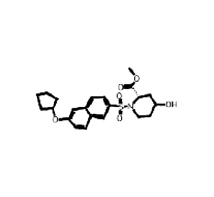 COC(=O)[C@@H]1CC(O)CCN1S(=O)(=O)c1ccc2cc(OC3CCCC3)ccc2c1